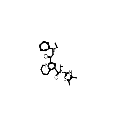 CC[C@@H](CC(=O)c1cc(C(=O)Nc2nc(C)c(C)s2)c2n1CCCC2)c1ccccc1